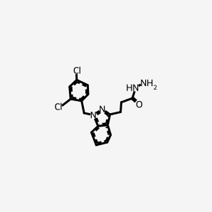 NNC(=O)CCc1nn(Cc2ccc(Cl)cc2Cl)c2ccccc12